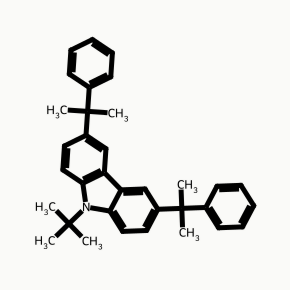 CC(C)(c1ccccc1)c1ccc2c(c1)c1cc(C(C)(C)c3ccccc3)ccc1n2C(C)(C)C